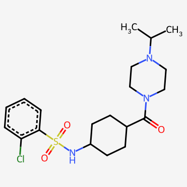 CC(C)N1CCN(C(=O)C2CCC(NS(=O)(=O)c3ccccc3Cl)CC2)CC1